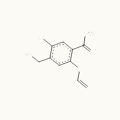 C=CSc1cc(CO)c(Cl)cc1C(=O)OC